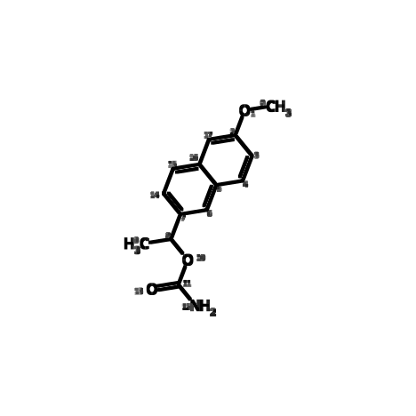 COc1ccc2cc(C(C)OC(N)=O)ccc2c1